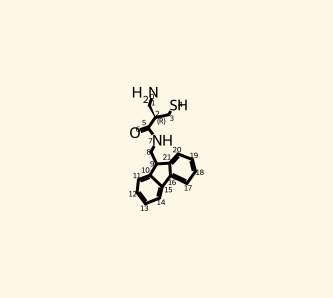 NC[C@@H](CS)C(=O)NCC1c2ccccc2-c2ccccc21